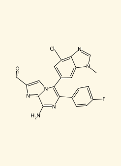 Cn1cnc2c(Cl)cc(-c3c(-c4ccc(F)cc4)nc(N)c4nc(C=O)cn34)cc21